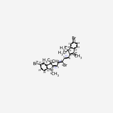 CN1/C(=C/C=C(Br)/C=C/C2=[N+](C)c3ccc(Br)cc3C2(C)C)C(C)(C)c2cc(Br)ccc21